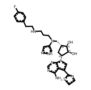 Nc1ncnc2c1c(-c1nccs1)cn2[C@@H]1C[C@H](CN(CCCNCCc2ccc(F)cc2)c2cn[nH]c2)[C@@H](O)[C@H]1O